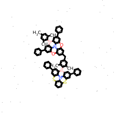 Cc1cc(C)c(B2c3cc(-c4ccccc4)cc4c3N3c5c(cc(Cc6cc(C)c(B7c8cc(-c9ccccc9)cc9c8N8c%10c(cccc%10Sc%10cc(-c%11ccccc%11)cc7c%108)S9)c(C)c6)cc5Oc5cc(-c6ccccc6)cc2c53)O4)c(C)c1